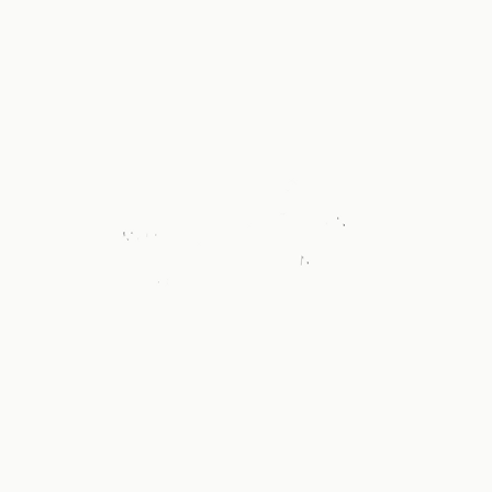 COC(=O)c1ccc(C(=O)C(C#N)C#N)cc1